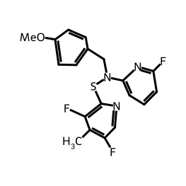 COc1ccc(CN(Sc2ncc(F)c(C)c2F)c2cccc(F)n2)cc1